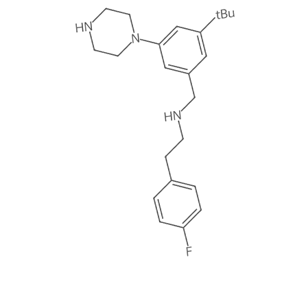 CC(C)(C)c1cc(CNCCc2ccc(F)cc2)cc(N2CCNCC2)c1